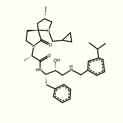 CC(C)c1cccc(CNC[C@@H](O)[C@H](Cc2ccccc2)NC(=O)[C@H](C)N2CC[C@]3(C[C@H](F)CN3CC3CC3)C2=O)c1